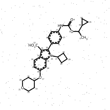 CC(OC(=O)Nc1ccc(-c2c(C(=O)O)c3ccc(OC4CCOCC4)cc3n2C2CCC2)cc1)C1CC1